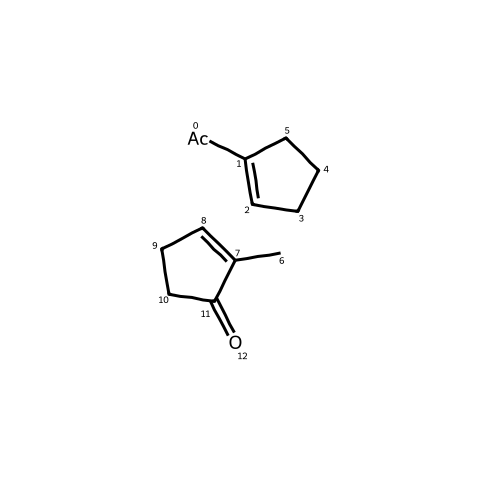 CC(=O)C1=CCCC1.CC1=CCCC1=O